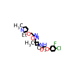 CCc1nc(C)ccc1OCc1nnc(C2(C)CC(C)(NC(=O)COc3ccc(Cl)c(F)c3)C2)o1